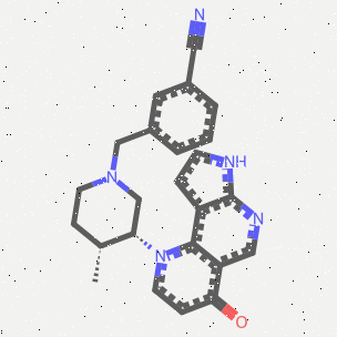 C[C@@H]1CCN(Cc2cccc(C#N)c2)C[C@@H]1n1ccc(=O)c2cnc3[nH]ccc3c21